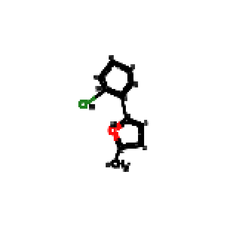 [CH2]c1ccc(-c2ccccc2Cl)o1